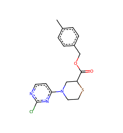 Cc1ccc(COC(=O)C2CN(c3ccnc(Cl)n3)CCS2)cc1